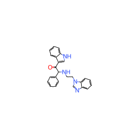 O=C(c1c[nH]c2ccccc12)C(NCCn1cnc2ccccc21)c1ccccc1